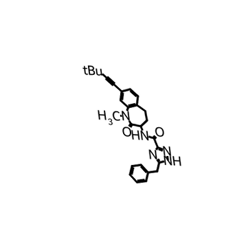 CN1C(=O)C(NC(=O)c2n[nH]c(Cc3ccccc3)n2)CCc2ccc(C#CC(C)(C)C)cc21